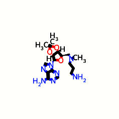 CN(CCCN)C[C@H]1O[C@@H](n2cnc3c(N)ncnc32)[C@@H]2OC(C)(C)O[C@@H]21